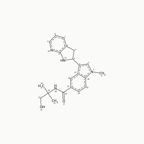 Cn1cc(C2Cc3cccnc3N2)c2cc(C(=O)NC(C)(C)CO)ccc21